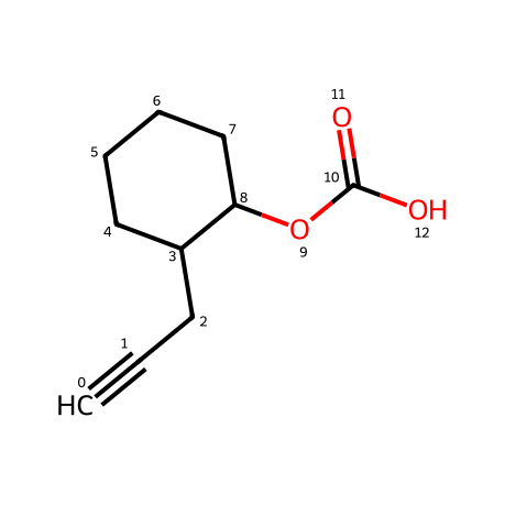 C#CCC1CCCCC1OC(=O)O